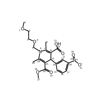 COCCOCN1C(C)=C(C(=O)O)C(c2cccc([N+](=O)[O-])c2)C(C(=O)OC)=C1C